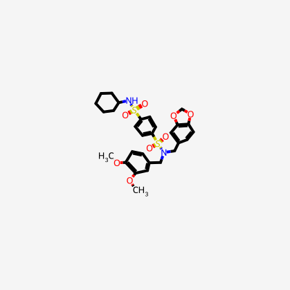 COc1ccc(CN(Cc2ccc3c(c2)OCO3)S(=O)(=O)c2ccc(S(=O)(=O)NC3CCCCC3)cc2)cc1OC